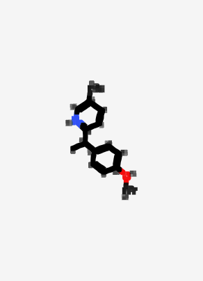 CCCCc1ccc(C(C)c2ccc(OCCC)cc2)nc1